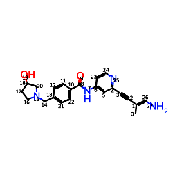 C/C(C#Cc1cc(NC(=O)c2ccc(CN3CC[C@@H](O)C3)cc2)ccn1)=C\N